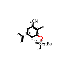 C=C(C)[C@@H]1CC(C#N)=C(C)C(O[Si](C)(C)C(C)(C)C)C1